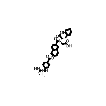 N=C(N)Nc1ccc(C(=O)Oc2ccc3cc(C(=O)N(CC(=O)O)[C@@H](Cc4ccccc4)C(=O)O)ccc3c2)cc1